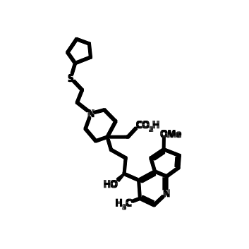 COc1ccc2ncc(C)c([C@@H](O)CCC3(CC(=O)O)CCN(CCSC4CCCC4)CC3)c2c1